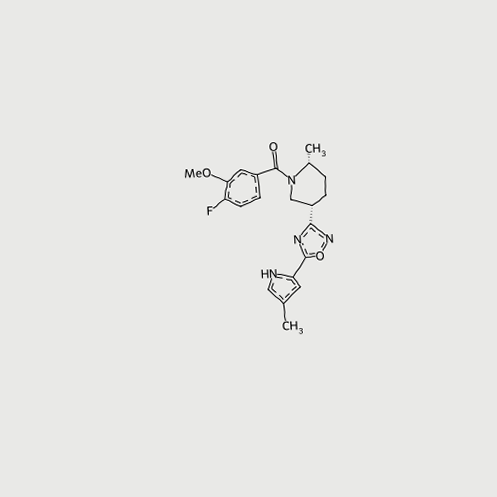 COc1cc(C(=O)N2C[C@@H](c3noc(-c4cc(C)c[nH]4)n3)CC[C@H]2C)ccc1F